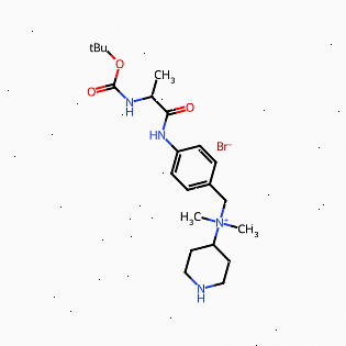 CC(NC(=O)OC(C)(C)C)C(=O)Nc1ccc(C[N+](C)(C)C2CCNCC2)cc1.[Br-]